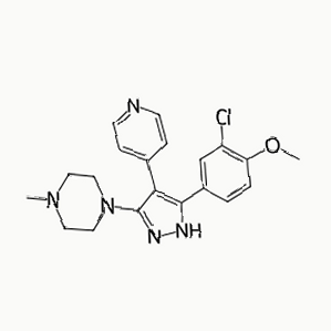 COc1ccc(-c2[nH]nc(N3CCN(C)CC3)c2-c2ccncc2)cc1Cl